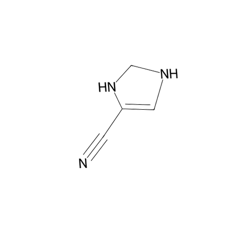 N#CC1=CNCN1